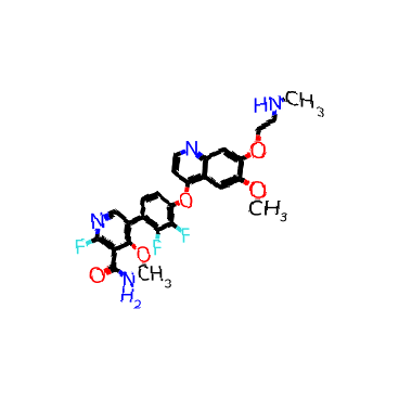 CNCCOc1cc2nccc(Oc3ccc(-c4cnc(F)c(C(N)=O)c4OC)c(F)c3F)c2cc1OC